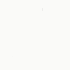 O=C(Cl)OC/C=C/COC(=O)Cl